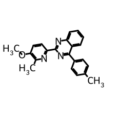 COc1ccc(-c2nc(-c3ccc(C)cc3)c3ccccc3n2)nc1C